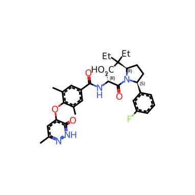 CCC(CC)(C(=O)O)[C@H]1CC[C@@H](c2cccc(F)c2)N1C(=O)[C@@H](C)NC(=O)c1cc(C)c(Oc2cc(C)n[nH]c2=O)c(C)c1